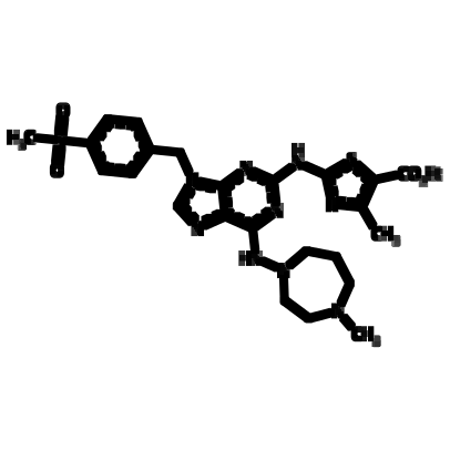 CCOC(=O)c1sc(Nc2nc(NN3CCCN(C)CC3)c3ncn(Cc4ccc(S(C)(=O)=O)cc4)c3n2)nc1C